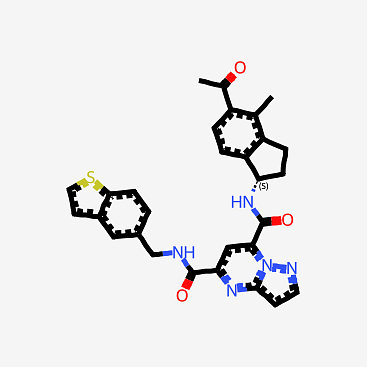 CC(=O)c1ccc2c(c1C)CC[C@@H]2NC(=O)c1cc(C(=O)NCc2ccc3sccc3c2)nc2ccnn12